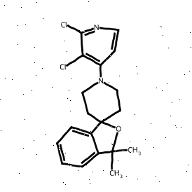 CC1(C)OC2(CCN(c3ccnc(Cl)c3Cl)CC2)c2ccccc21